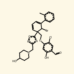 Cc1ccccc1C1=CC=CC(COc2cc(O)c(C=O)cc2Cl)(c2nc(CN3CCC(O)CC3)no2)C1Br